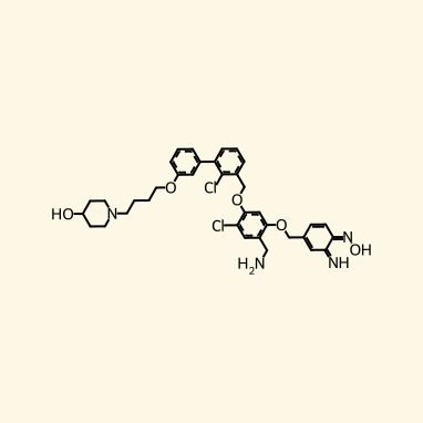 N=C1C=C(COc2cc(OCc3cccc(-c4cccc(OCCCCN5CCC(O)CC5)c4)c3Cl)c(Cl)cc2CN)C=C/C1=N/O